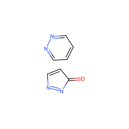 O=C1C=CN=N1.c1ccnnc1